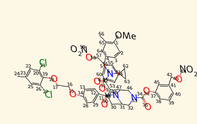 COc1ccc(CN(C(=O)C2=C(c3ccc(OCCOc4c(Cl)cc(C)cc4Cl)cc3)CC3CN(C(=O)Oc4cccc(CO[N+](=O)[O-])c4)CC2N3C(=O)Oc2cccc(CO[N+](=O)[O-])c2)C2CC2)cc1C